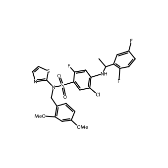 COc1ccc(CN(c2nccs2)S(=O)(=O)c2cc(Cl)c(NC(C)c3cc(F)ccc3F)cc2F)c(OC)c1